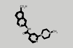 CN1CCN(c2cc(C(=O)Nc3cc4cc(C(=O)O)ccc4cn3)ccn2)CC1